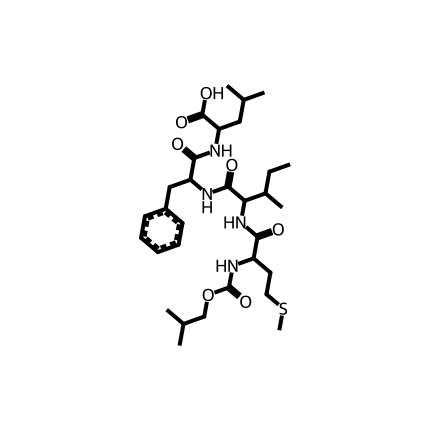 CCC(C)C(NC(=O)C(CCSC)NC(=O)OCC(C)C)C(=O)NC(Cc1ccccc1)C(=O)NC(CC(C)C)C(=O)O